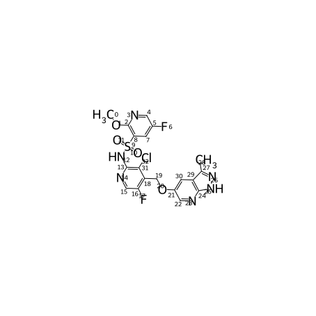 COc1ncc(F)cc1S(=O)(=O)Nc1ncc(F)c(COc2cnc3[nH]nc(C)c3c2)c1Cl